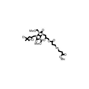 CCC(C)OC(=O)CCSSCCC(=O)OCC(O)CN1C(=O)N(COC)C2C1N(COC)C(=O)N2CC(O)CC(C)(C)CC